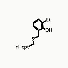 CCCCCCCCSCc1cccc(CC)c1O